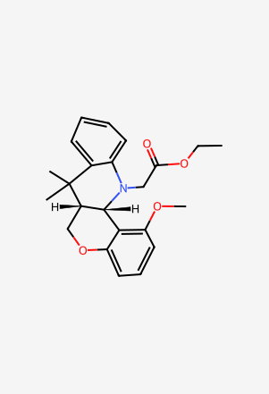 CCOC(=O)CN1c2ccccc2C(C)(C)[C@H]2COc3cccc(OC)c3[C@H]21